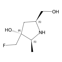 C[C@@H]1N[C@H](CO)C[C@]1(O)CF